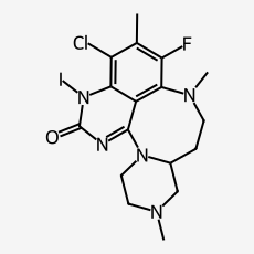 Cc1c(F)c2c3c(nc(=O)n(I)c3c1Cl)N1CCN(C)CC1CCN2C